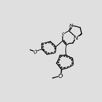 COc1ccc(C2=C(c3ccc(OC)cc3)SC3=NCCN3C2)cc1